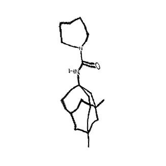 CC12CC3CC(C)(C1)CC(NC(=O)N1CCCC1)(C3)C2